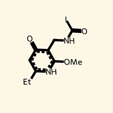 CCc1cc(=O)c(CNC(=O)I)c(OC)[nH]1